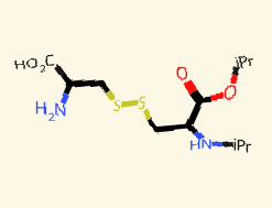 CC(C)NC(CSSCC(N)C(=O)O)C(=O)OC(C)C